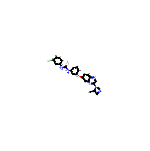 Cc1cncn1-c1cnc2ccc(Oc3cccc(NC(=O)Nc4cccc(F)c4)c3)cc2n1